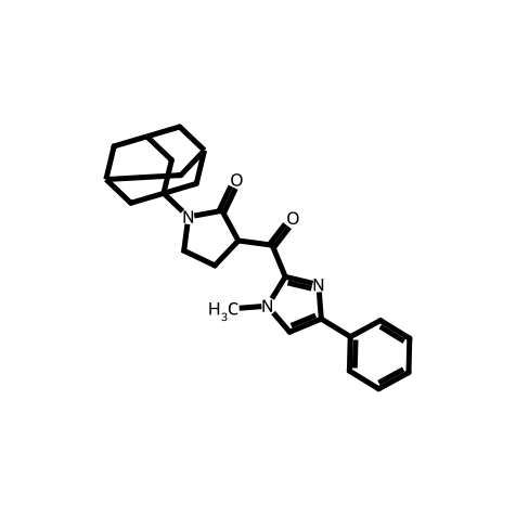 Cn1cc(-c2ccccc2)nc1C(=O)C1CCN(C23CC4CC(CC(C4)C2)C3)C1=O